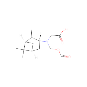 CC1[C@H](N(COC=O)CC(=O)O)C[C@@H]2C[C@H]1C2(C)C